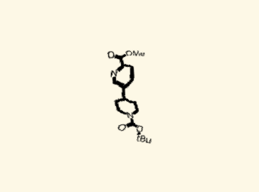 COC(=O)c1ccc(C2CCN(C(=O)OC(C)(C)C)CC2)cn1